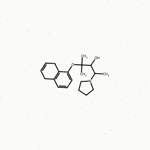 CC(C(O)C(C)(C)Oc1cccc2c1CC=CC2)N1CCCC1